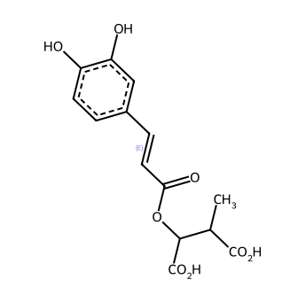 CC(C(=O)O)C(OC(=O)/C=C/c1ccc(O)c(O)c1)C(=O)O